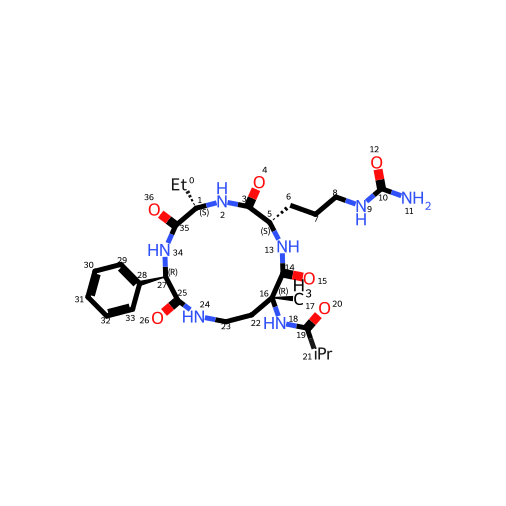 CC[C@@H]1NC(=O)[C@H](CCCNC(N)=O)NC(=O)[C@](C)(NC(=O)C(C)C)CCNC(=O)[C@@H](c2ccccc2)NC1=O